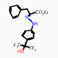 CCOC(=O)C(Cc1ccccc1)=NNc1ccc(C(O)(C(F)(F)F)C(F)(F)F)cc1